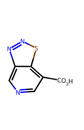 O=C(O)c1cncc2nnsc12